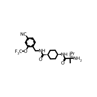 CC(C)[C@@](C)(N)C(=O)N[C@H]1CC[C@@H](C(=O)NCc2ccc(C#N)cc2OC(F)(F)F)CC1